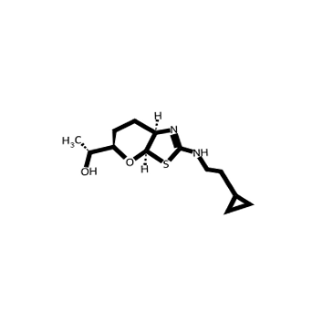 C[C@@H](O)[C@H]1CC[C@H]2N=C(NCCC3CC3)S[C@H]2O1